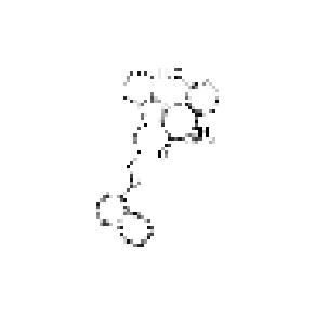 Cc1cccc(C)c1-c1c(C(=O)O)n(CCCOc2cccc3ccccc23)c2ccccc12